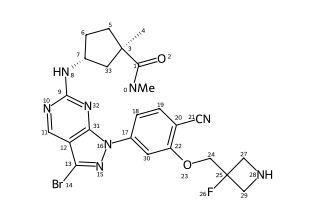 CNC(=O)[C@]1(C)CC[C@@H](Nc2ncc3c(Br)nn(-c4ccc(C#N)c(OCC5(F)CNC5)c4)c3n2)C1